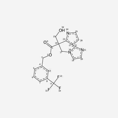 O=C(OCc1cccc(C(F)(F)F)c1)C(CO)(Cn1ccnc1)c1nccs1